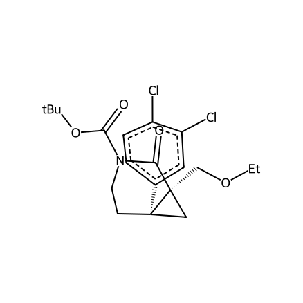 CCOC[C@]12C[C@@]1(c1ccc(Cl)c(Cl)c1)CCN(C(=O)OC(C)(C)C)C2=O